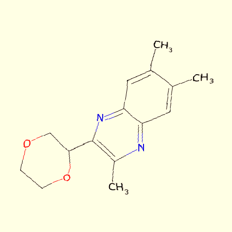 Cc1cc2nc(C)c(C3COCCO3)nc2cc1C